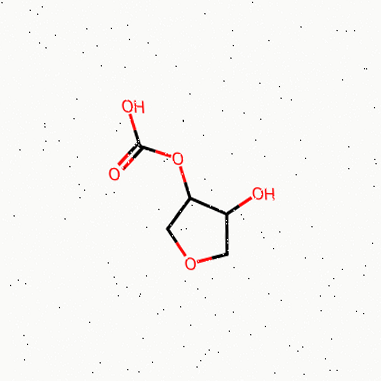 O=C(O)OC1COCC1O